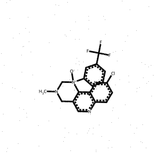 CN1Cc2cnc3ccc(Cl)nc3c2[N+]([O-])(c2cccc(C(F)(F)F)c2)C1